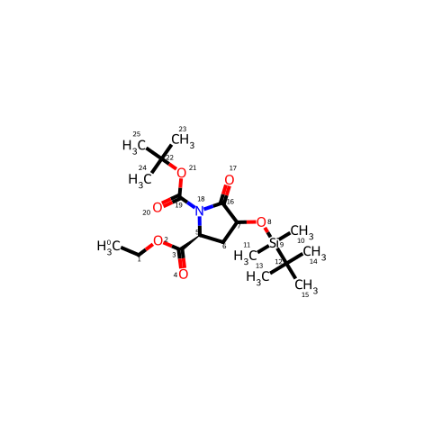 CCOC(=O)[C@@H]1CC(O[Si](C)(C)C(C)(C)C)C(=O)N1C(=O)OC(C)(C)C